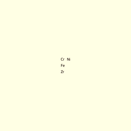 [Cr].[Fe].[Ni].[Zr]